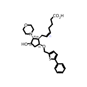 O=C(O)CCC/C=C\C[C@@H]1[C@@H](N2CCOCC2)[C@H](O)C[C@@H]1OCc1ccc(-c2ccccc2)s1